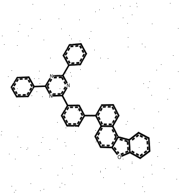 c1ccc(-c2nc(-c3ccccc3)nc(-c3cccc(-c4cccc5c4ccc4oc6ccccc6c45)c3)n2)cc1